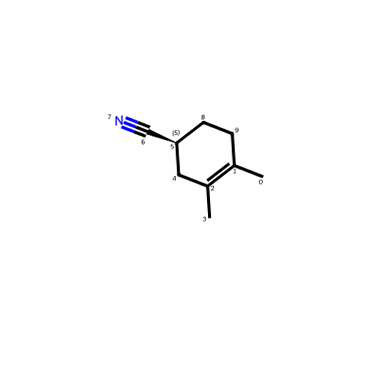 CC1=C(C)C[C@@H](C#N)CC1